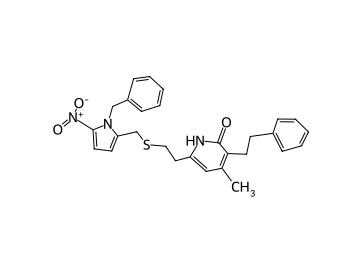 Cc1cc(CCSCc2ccc([N+](=O)[O-])n2Cc2ccccc2)[nH]c(=O)c1CCc1ccccc1